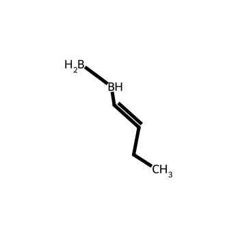 BBC=CCC